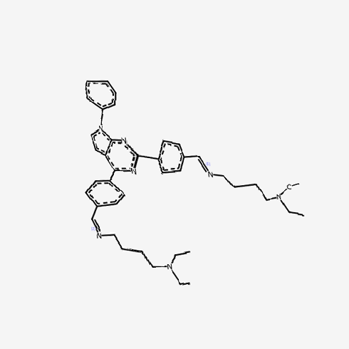 CCN(CC)CCCC/N=C\c1ccc(-c2nc(-c3ccc(/C=N/CCCCN(CC)CC)cc3)nc3c2ccn3-c2ccccc2)cc1